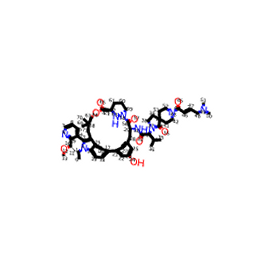 CCn1c(-c2cccnc2[C@H](C)OC)c2c3cc(ccc31)-c1cc(O)cc(c1)C[C@H](NC(=O)C(C(C)C)N1CCC3(CCN(C(=O)/C=C/CN(C)C)CC3)C1=O)C(=O)N1CCC[C@H](N1)C(=O)OCC(C)(C)C2